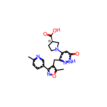 Cc1ccc(-c2noc(C)c2Cc2n[nH]c(=O)cc2N2CC[C@@H](C(=O)O)C2)cn1